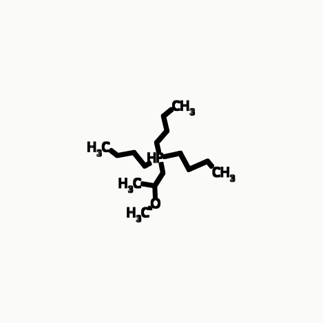 CCCC[PH](CCCC)(CCCC)CC(C)OC